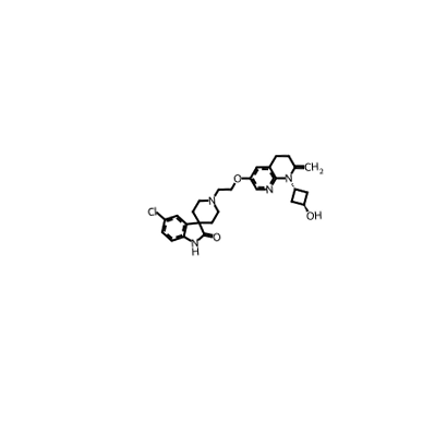 C=C1CCc2cc(OCCN3CCC4(CC3)C(=O)Nc3ccc(Cl)cc34)cnc2N1[C@H]1C[C@H](O)C1